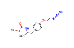 CC(C)(C)OC(=O)NC(Cc1ccc(OCCN=[N+]=N)cc1)C(=O)[O-]